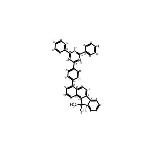 CC1(C)c2ccccc2-c2ccc3c(-c4ccc(-c5nc(-c6ccccc6)nc(-c6ccccc6)n5)cc4)cccc3c21